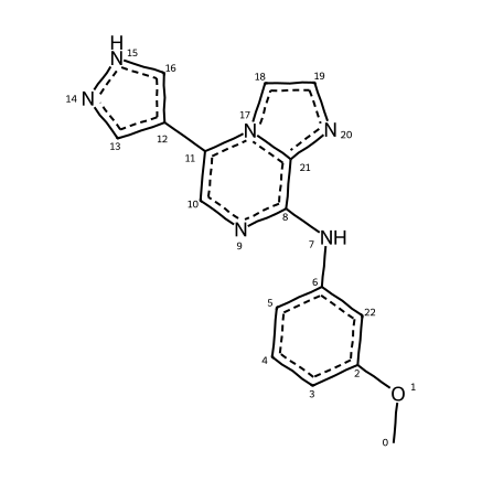 COc1cccc(Nc2ncc(-c3cn[nH]c3)n3ccnc23)c1